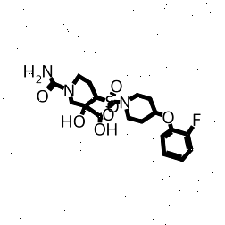 NC(=O)N1CCC(S(=O)(=O)N2CCC(Oc3ccccc3F)CC2)C(O)(C(=O)O)C1